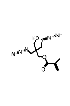 C=C(C)C(=O)OCC(CO)(CN=[N+]=[N-])CN=[N+]=[N-]